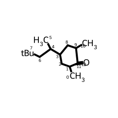 CC1CC(C(C)CC(C)(C)C)CC(C)C1=O